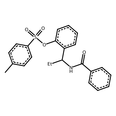 CCC(NC(=O)c1ccccc1)c1ccccc1OS(=O)(=O)c1ccc(C)cc1